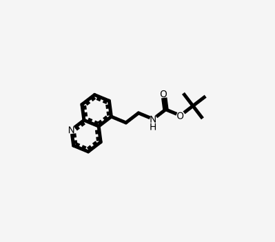 CC(C)(C)OC(=O)NCCc1cccc2ncccc12